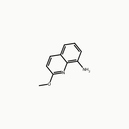 COc1ccc2cccc(N)c2n1